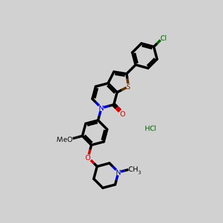 COc1cc(-n2ccc3cc(-c4ccc(Cl)cc4)sc3c2=O)ccc1OC1CCCN(C)C1.Cl